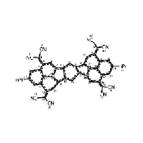 CCCc1cc2c(=C(C#N)C#N)cc3c4cc5c(cc4c4cc(=C(C#N)C#N)c(c1)c2n34)c1cc(=C(C#N)C#N)c2cc(CCC)cc3c(=C(C#N)C#N)cc5n1c32